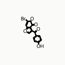 O=C1C(=O)c2c(C(=O)c3ccc(O)cc3)coc2C=C1Br